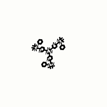 CC1(C)N=C(c2ccc(-c3nc(-c4ccc(C5=NC(C)(C)C(C)(C)N5c5ccccc5)nc4)nc(-c4ccc(C5=NC(C)(C)C(C)(C)N5c5ccccc5)nc4)n3)cn2)N(c2ccccc2)C1(C)C